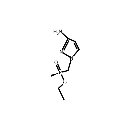 CCO[P@](C)(=O)Cn1ccc(N)n1